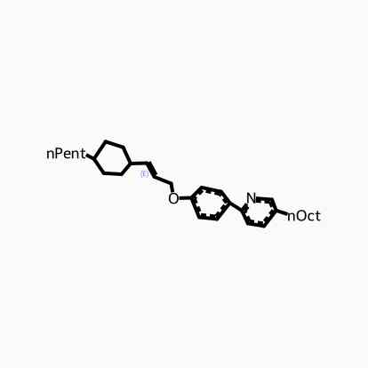 CCCCCCCCc1ccc(-c2ccc(OC/C=C/C3CCC(CCCCC)CC3)cc2)nc1